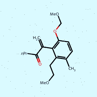 C=C(C(=O)CCC)c1c(OCOC)ccc(C)c1CCOC